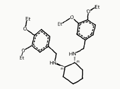 CCOc1ccc(CN[C@@H]2CCCC[C@H]2NCc2ccc(OCC)c(OCC)c2)cc1OCC